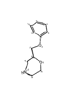 c1ccc(OC[C]2CNCCO2)cc1